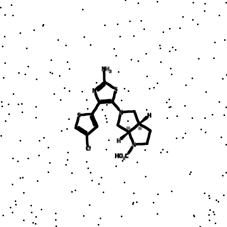 Nc1nc(-c2cc(Cl)cs2)c(N2C[C@@H]3CCN(C(=O)O)[C@@H]3C2)s1